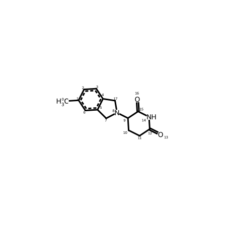 Cc1ccc2c(c1)CN(C1CCC(=O)NC1=O)C2